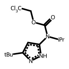 CC(C)N(C(=O)OCC(Cl)(Cl)Cl)c1cc(C(C)(C)C)n[nH]1